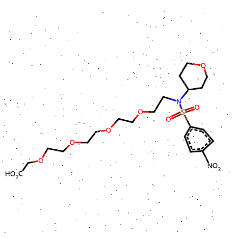 O=C(O)COCCOCCOCCOCCN(C1CCOCC1)S(=O)(=O)c1ccc([N+](=O)[O-])cc1